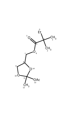 CCC(C)(C)C(=O)OCC1COC(C)(OC(C)=O)O1